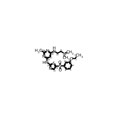 CCOc1cccc(S(=O)(=O)c2cnc(Nc3cc(NCCN(C)C)nc(C)n3)s2)c1